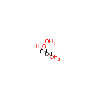 C.C.O.O.O